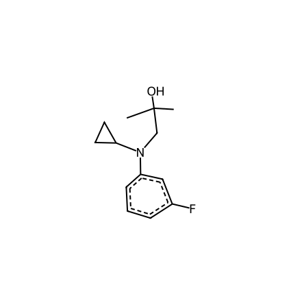 CC(C)(O)CN(c1cccc(F)c1)C1CC1